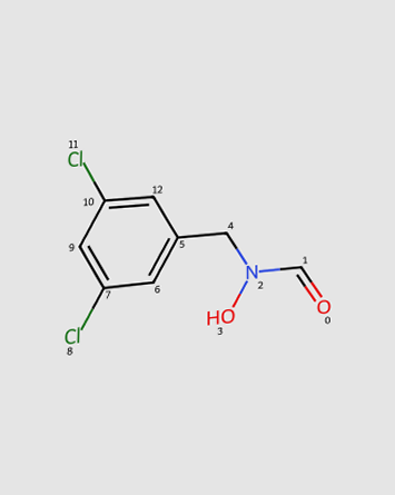 O=CN(O)Cc1cc(Cl)cc(Cl)c1